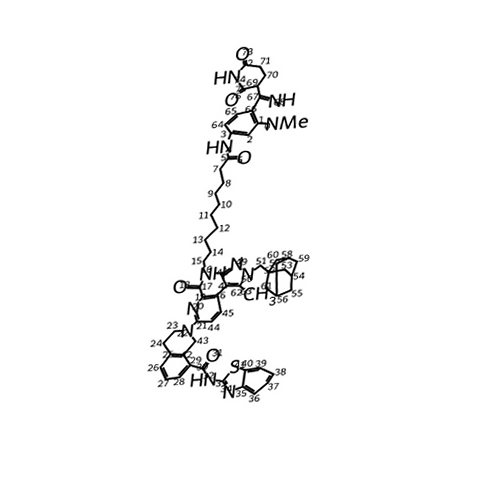 CNc1cc(NC(=O)CCCCCCCCCNC(=O)c2nc(N3CCc4cccc(C(=O)Nc5nc6ccccc6s5)c4C3)ccc2-c2cnn(CC34CC5CC(CC(C5)C3)C4)c2C)ccc1C(=N)C1CCC(=O)NC1=O